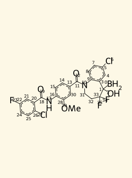 BC1(O)c2cc(Cl)ccc2N(C(=O)c2ccc(NC(=O)c3cc(F)ccc3Cl)c(OC)c2)CCC1(F)F